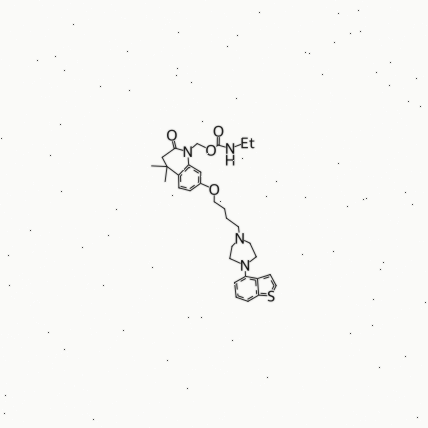 CCNC(=O)OCN1C(=O)CC(C)(C)c2ccc(OCCCCN3CCN(c4cccc5sccc45)CC3)cc21